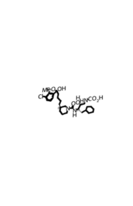 COC(O)(CCCC[C@@H]1CCCN(C(=O)N[C@@H](CC2CCCCC2)[C@@H](O)CNC(=O)O)C1)c1cccc(Cl)c1F